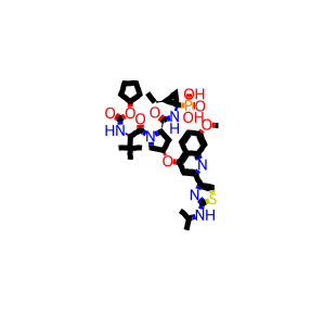 CC[C@@H]1C[C@]1(NC(=O)[C@@H]1C[C@@H](Oc2cc(-c3csc(NC(C)C)n3)nc3cc(OC)ccc23)CN1C(=O)[C@@H](NC(=O)OC1CCCC1)C(C)(C)C)P(=O)(O)O